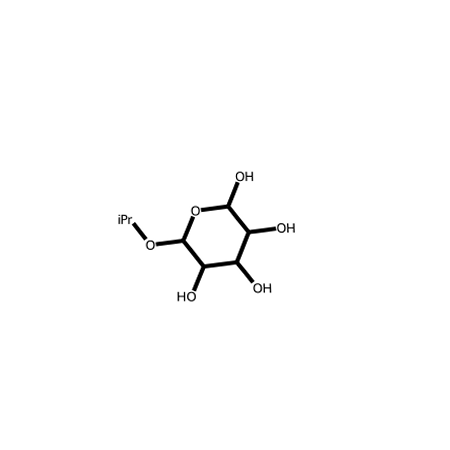 CC(C)OC1OC(O)C(O)C(O)C1O